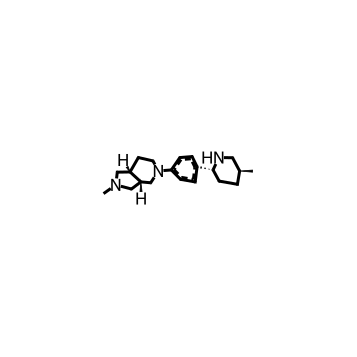 C[C@H]1CC[C@H](c2ccc(N3CC[C@H]4CN(C)C[C@H]4C3)cc2)NC1